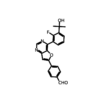 CC(C)(O)c1cccc(-c2ncnc3cc(-c4ccc(C=O)cc4)oc23)c1F